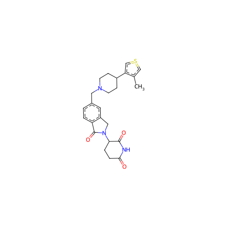 Cc1cscc1C1CCN(Cc2ccc3c(c2)CN(C2CCC(=O)NC2=O)C3=O)CC1